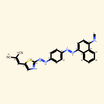 C=Nc1ccc(/N=N/c2ccc(/N=N/c3ncc(C=C(C#N)C#N)s3)cc2)c2ccccc12